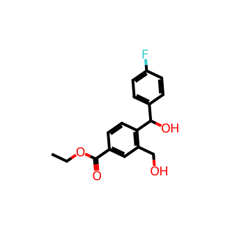 CCOC(=O)c1ccc(C(O)c2ccc(F)cc2)c(CO)c1